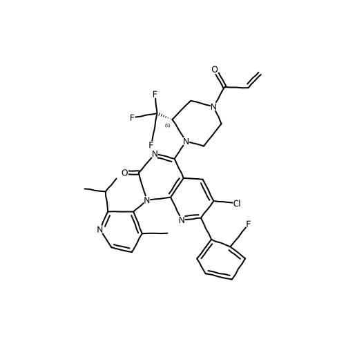 C=CC(=O)N1CCN(c2nc(=O)n(-c3c(C)ccnc3C(C)C)c3nc(-c4ccccc4F)c(Cl)cc23)[C@H](C(F)(F)F)C1